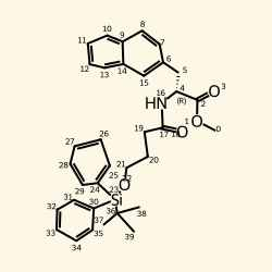 COC(=O)[C@@H](Cc1ccc2ccccc2c1)NC(=O)CCCO[Si](c1ccccc1)(c1ccccc1)C(C)(C)C